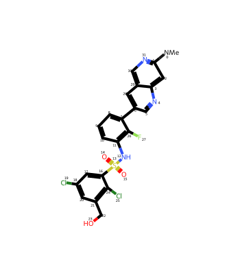 CNc1cc2ncc(-c3cccc(NS(=O)(=O)c4cc(Cl)cc(CO)c4Cl)c3F)cc2cn1